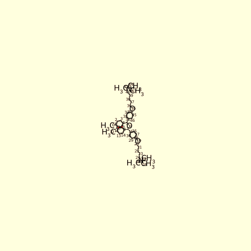 Cc1ccc(C(OC(c2ccc(C)cc2)c2ccc(OCCCCC[N+](C)(C)C)cc2)c2ccc(OCCCCC[N+](C)(C)C)cc2)cc1